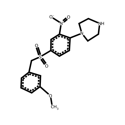 COc1cccc(CS(=O)(=O)c2ccc(N3CCNCC3)c([N+](=O)[O-])c2)c1